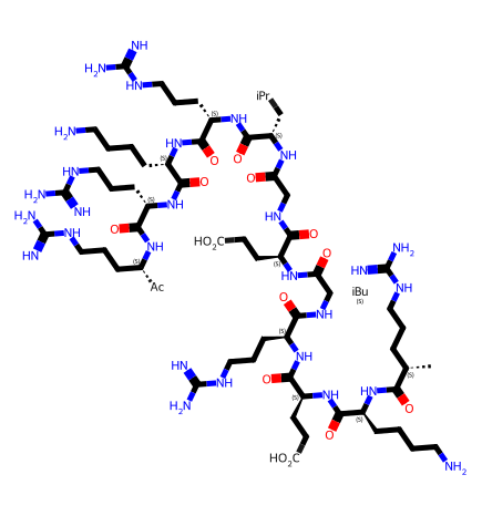 CC[C@H](C)C(NC(=O)[C@H](CCCNC(=N)N)NC(=O)[C@H](CCC(=O)O)NC(=O)[C@H](CCCCN)NC(=O)[C@@H](C)CCCNC(=N)N)C(=O)N[C@@H](CCC(=O)O)C(=O)NCC(=O)N[C@@H](CC(C)C)C(=O)N[C@@H](CCCNC(=N)N)C(=O)N[C@@H](CCCCN)C(=O)N[C@@H](CCCNC(=N)N)C(=O)N[C@@H](CCCNC(=N)N)C(C)=O